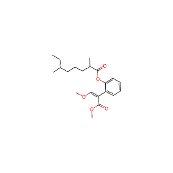 CCC(C)CCCC(C)C(=O)Oc1ccccc1C(=COC)C(=O)OC